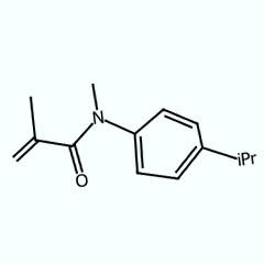 C=C(C)C(=O)N(C)c1ccc(C(C)C)cc1